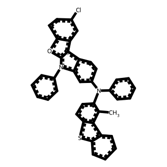 Cc1c(N(c2ccccc2)c2ccc3c4c5cc(Cl)ccc5oc4n(-c4ccccc4)c3c2)ccc2sc3ccccc3c12